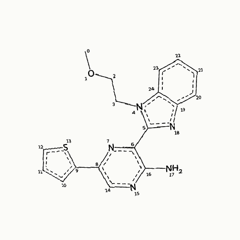 COCCn1c(-c2nc(-c3cccs3)cnc2N)nc2ccccc21